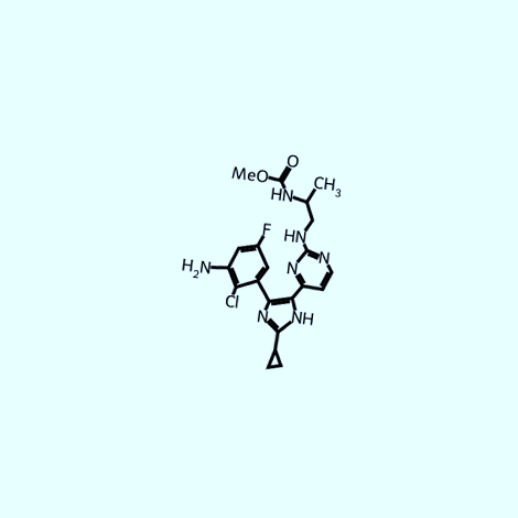 COC(=O)NC(C)CNc1nccc(-c2[nH]c(C3CC3)nc2-c2cc(F)cc(N)c2Cl)n1